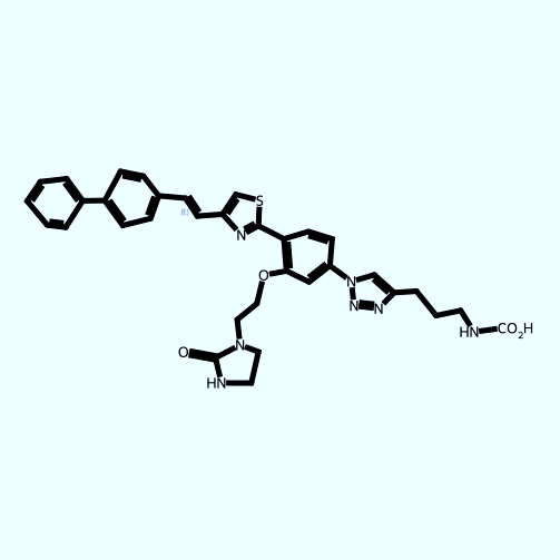 O=C(O)NCCCc1cn(-c2ccc(-c3nc(/C=C/c4ccc(-c5ccccc5)cc4)cs3)c(OCCN3CCNC3=O)c2)nn1